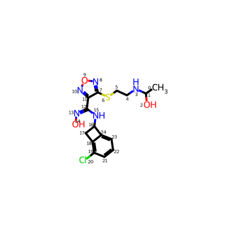 CC(O)NCCSc1nonc1/C(=N/O)NC1Cc2c(Cl)cccc21